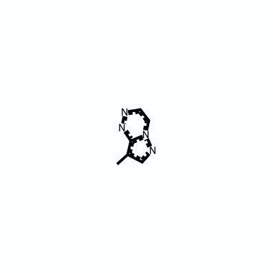 Cc1cnn2ccnnc12